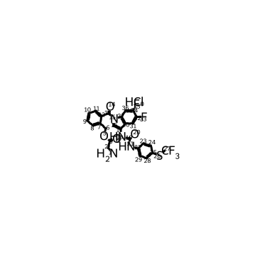 Cl.NCC(=O)OCc1ccccc1C(=O)n1cc(NC(=O)Nc2ccc(SC(F)(F)F)cc2)c2cc(F)c(F)cc21